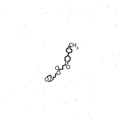 CN1CCC(C2CCN(C(=O)CCC(=O)OCCN3CCOCC3)CC2)CC1